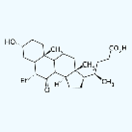 CC[C@H]1C(=O)C2C(CC[C@]3(C)[C@@H]([C@H](C)CCC(=O)O)CC[C@@H]23)[C@@]2(C)CC[C@@H](O)CC12